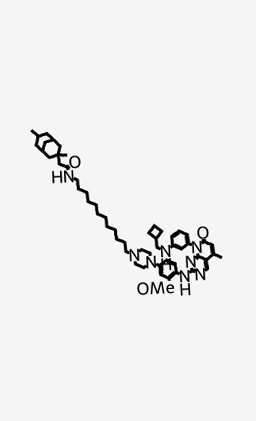 COc1cc(N2CCN(CCCCCCCCCCCCNC(=O)CC3(C)CC4CC(C)CC(C4)C3)CC2)ccc1Nc1ncc2c(C)cc(=O)n(-c3cccc(NCC4CCC4)c3)c2n1